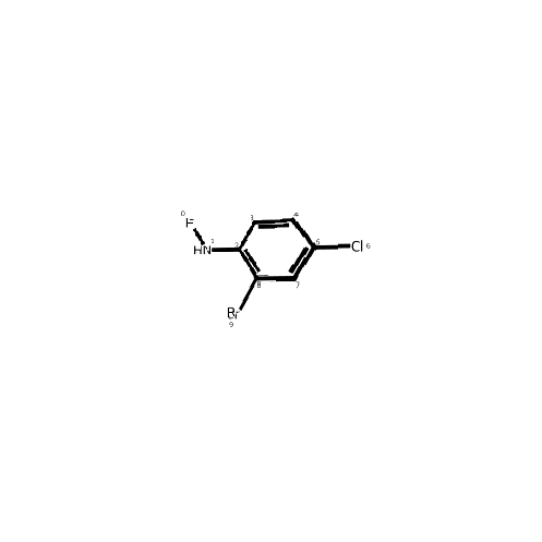 FNc1ccc(Cl)cc1Br